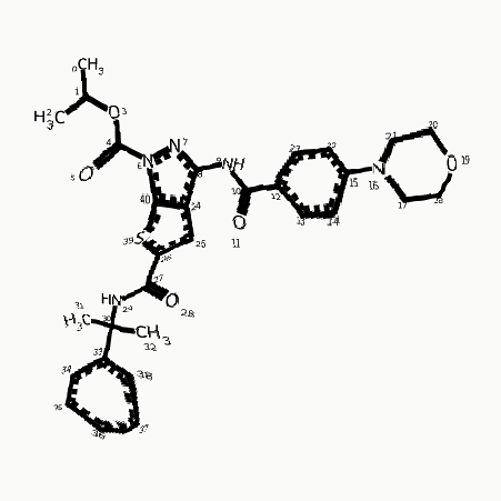 CC(C)OC(=O)n1nc(NC(=O)c2ccc(N3CCOCC3)cc2)c2cc(C(=O)NC(C)(C)c3ccccc3)sc21